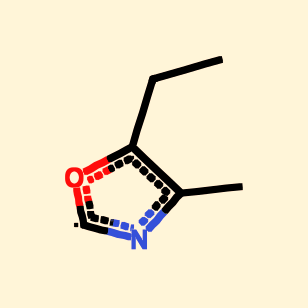 CCc1o[c]nc1C